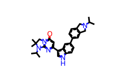 CC(C)N1Cc2ccc(-c3ccc4[nH]cc(-c5cc(=O)n6c(n5)N(C(C)C)C(C)(C)C6)c4c3)cc2C1